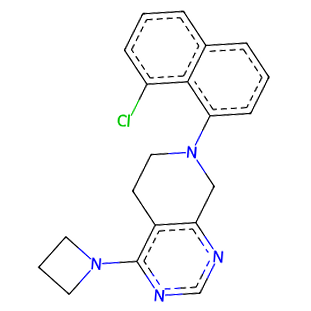 Clc1cccc2cccc(N3CCc4c(ncnc4N4CCC4)C3)c12